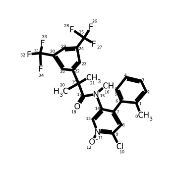 Cc1ccccc1-c1cc(Cl)[n+]([O-])cc1N(C)C(=O)C(C)(C)c1cc(C(F)(F)F)cc(C(F)(F)F)c1